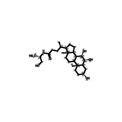 C[C@H](CCC(=O)N[C@H](CO)C(=O)O)[C@H]1CCC2C3C(CC[C@@]21C)[C@@]1(C)CC[C@@H](O)CC1[C@@H](O)[C@H]3O